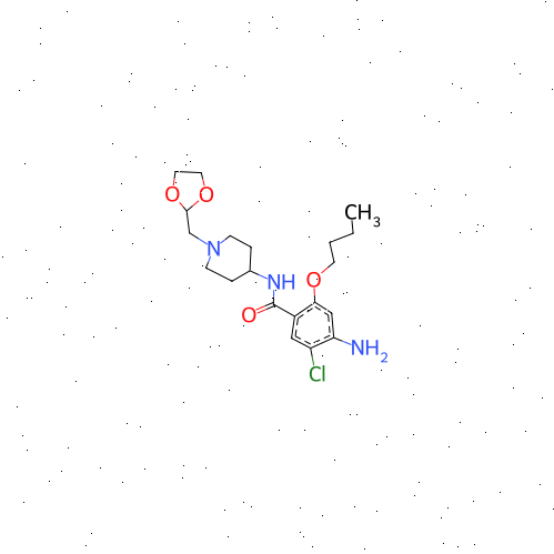 CCCCOc1cc(N)c(Cl)cc1C(=O)NC1CCN(CC2OCCO2)CC1